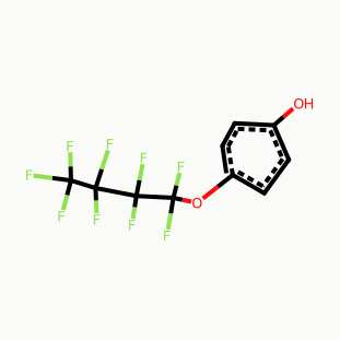 Oc1ccc(OC(F)(F)C(F)(F)C(F)(F)C(F)(F)F)cc1